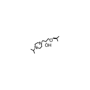 CC(C)=COC[C@H](O)CN1CCN(C(C)C)CC1